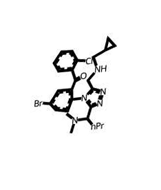 CCCC(c1nnc(CNCC2CC2)n1-c1ccc(Br)cc1C(=O)c1ccccc1Cl)N(C)C